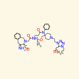 CCN1N=NN(CCN2CCC(COC)(N(C(=O)CCNC(=O)CN3Cc4ccccc4C[C@H](N)C3=C=O)c3ccccc3)CC2)C1=C=O